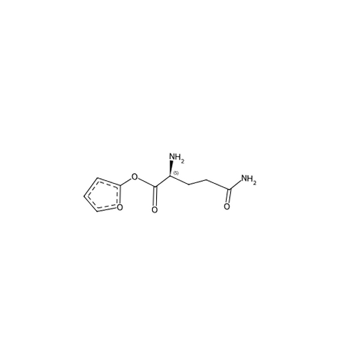 NC(=O)CC[C@H](N)C(=O)Oc1ccco1